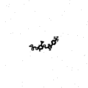 COC(=O)COc1cc(C2CC2)c(OCc2nc(-c3ccc(C(F)(F)F)cc3)cs2)cc1C